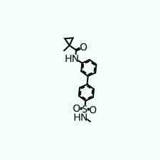 CNS(=O)(=O)c1ccc(-c2cccc(NC(=O)C3(C)CC3)c2)cc1